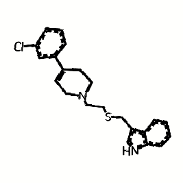 Clc1cccc(C2=CCN(CCSCc3c[nH]c4ccccc34)CC2)c1